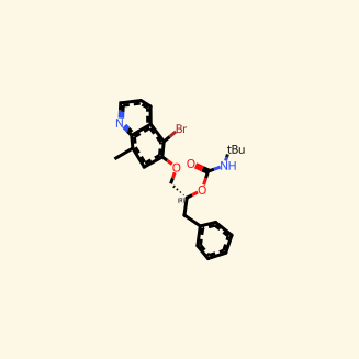 Cc1cc(OC[C@@H](Cc2ccccc2)OC(=O)NC(C)(C)C)c(Br)c2cccnc12